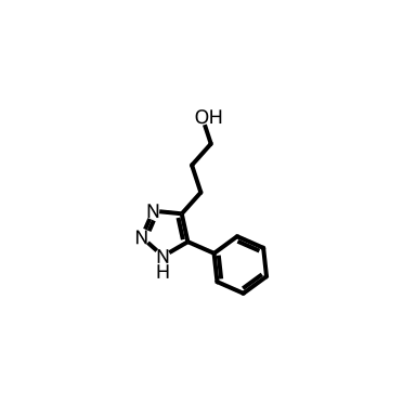 OCCCc1nn[nH]c1-c1ccccc1